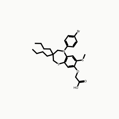 CCCCC1(CCCC)CSc2cc(OCC(=O)O)c(SC)cc2N(c2ccc(Br)cc2)C1